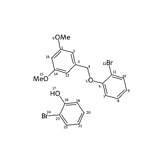 COc1cc(COc2ccccc2Br)cc(OC)c1.Oc1ccccc1Br